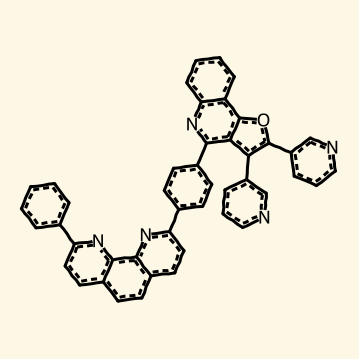 c1ccc(-c2ccc3ccc4ccc(-c5ccc(-c6nc7ccccc7c7oc(-c8cccnc8)c(-c8cccnc8)c67)cc5)nc4c3n2)cc1